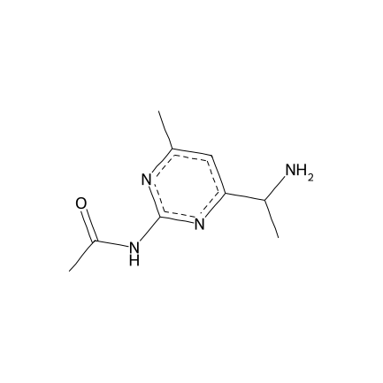 CC(=O)Nc1nc(C)cc(C(C)N)n1